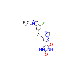 O=c1[nH]cc(-c2cc([C@H]3C[C@@H]3c3cc(F)c4cnn(CC(F)(F)F)c4c3)c3nccn3n2)c(=O)[nH]1